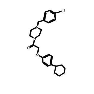 O=C(COc1ccc(C2CCCCC2)cc1)N1CCN(Cc2ccc(Cl)cc2)CC1